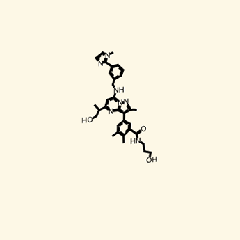 Cc1cc(-c2c(C)nn3c(NCc4cccc(-c5nccn5C)c4)cc(C(C)CO)nc23)cc(C(=O)NCCCO)c1C